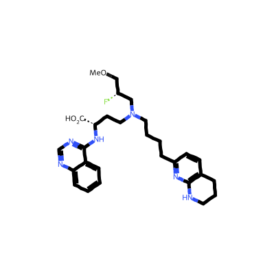 COC[C@@H](F)CN(CCCCc1ccc2c(n1)NCCC2)CC[C@H](Nc1ncnc2ccccc12)C(=O)O